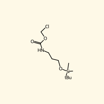 CC(C)(C)[Si](C)(C)OCCCNC(=O)OCCl